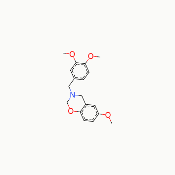 COc1ccc2c(c1)CN(Cc1ccc(OC)c(OC)c1)CO2